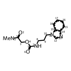 CNC(=O)COC(=O)NCCCn1cnc2ccccc21